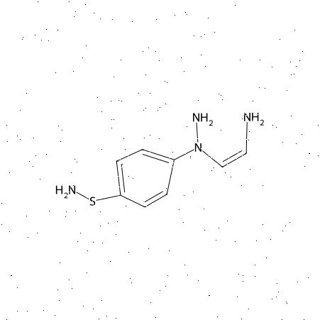 N/C=C\N(N)c1ccc(SN)cc1